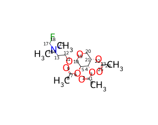 CC(=O)O[C@@H]1[C@@H](OC(C)=O)[C@H](OCC[N+](C)(C)CF)OC[C@@H]1OC(C)=O